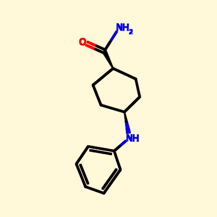 NC(=O)[C@H]1CC[C@@H](Nc2ccccc2)CC1